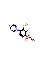 CCCS(=O)(=O)c1ccc(N2CCNCC2)c(F)c1F.Cl